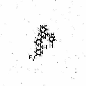 FC(F)(F)c1ccc(Nc2cc(-c3nc(NC4CCNC4)c4ccncc4n3)ccn2)nc1